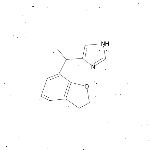 CC(c1c[nH]cn1)c1cccc2c1OCC2